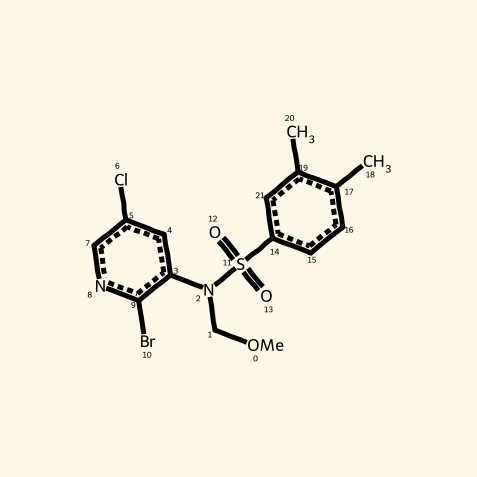 COCN(c1cc(Cl)cnc1Br)S(=O)(=O)c1ccc(C)c(C)c1